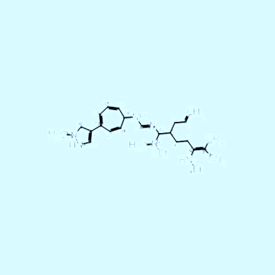 C=CCC(CCC(NCC)=C(C)C)C(/N=C/NC1C=CC=C(C2=CNN(C)C2)C=C1)N(C)CC